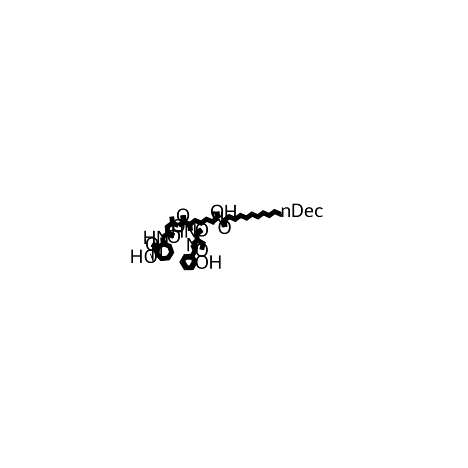 CCCCCCCCCCCCCCCCCCCCC(=O)N(O)CCCCC(NC(=O)C1COC(c2ccccc2O)=N1)C(=O)OC(C)CC(=O)NC1CCCCN(O)C1=O